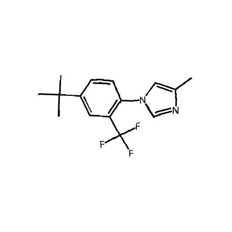 Cc1cn(-c2ccc(C(C)(C)C)cc2C(F)(F)F)cn1